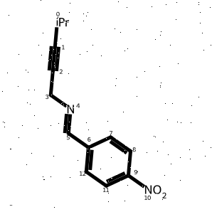 CC(C)C#CCN=Cc1ccc([N+](=O)[O-])cc1